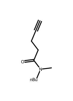 C#CCCC(=O)N(C)CCCC